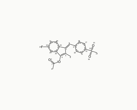 CC(=O)OC1=C(C)C(=Cc2ccc(S(C)(=O)=O)cc2)c2ccc(F)cc21